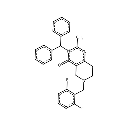 Cc1nc2c(c(=O)n1C(c1ccccc1)c1ccccc1)CN(Cc1c(F)cccc1F)CC2